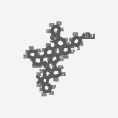 CC(C)(C)c1ccc(-c2ccc(-c3ccc(N(c4ccc5c(c4)C(C)(C)c4ccccc4-5)c4ccc5ccccc5c4-c4ccc(-c5cccc6c5sc5ccccc56)cc4)c(-c4ccccc4)c3)cc2)cc1